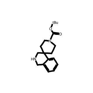 CC(C)(C)OC(=O)N1CCC2(CC1)CNCc1ccccc12